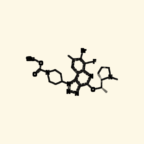 Cc1cc2c(nc(O[C@@H](C)[C@@H]3CCCN3C)c3nnn(C4CCN(C(=O)OC(C)(C)C)CC4)c32)c(F)c1Br